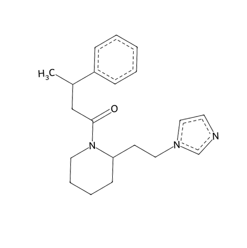 CC(CC(=O)N1CCCCC1CCn1ccnc1)c1ccccc1